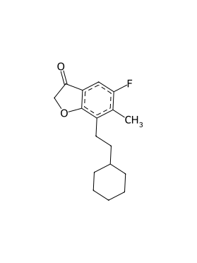 Cc1c(F)cc2c(c1CCC1CCCCC1)OCC2=O